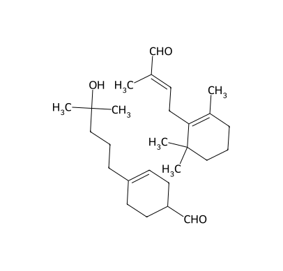 CC(C)(O)CCCC1=CCC(C=O)CC1.CC(C=O)=CCC1=C(C)CCCC1(C)C